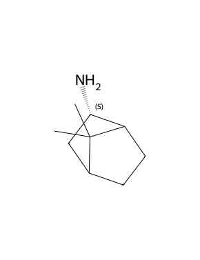 CC1(C)C2CCC1[C@@H](N)C2